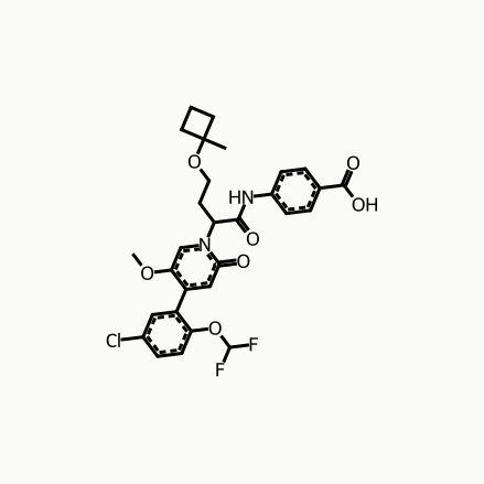 COc1cn(C(CCOC2(C)CCC2)C(=O)Nc2ccc(C(=O)O)cc2)c(=O)cc1-c1cc(Cl)ccc1OC(F)F